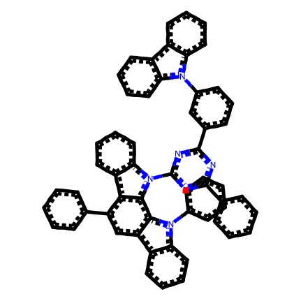 c1ccc(-c2nc(-c3cccc(-n4c5ccccc5c5ccccc54)c3)nc(-n3c4ccccc4c4c(-c5ccccc5)cc5c6ccccc6n(-c6ccccc6)c5c43)n2)cc1